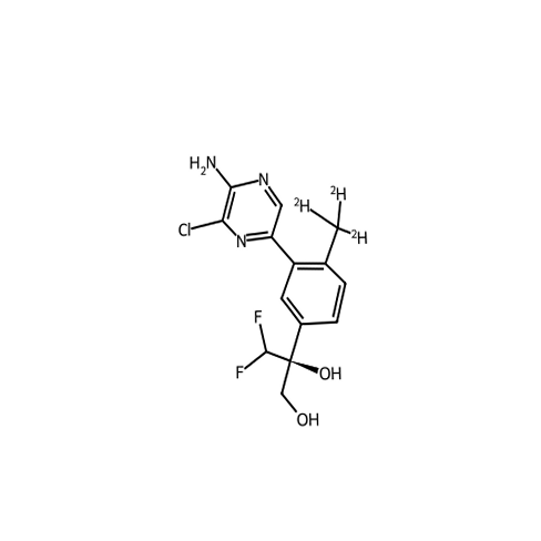 [2H]C([2H])([2H])c1ccc([C@](O)(CO)C(F)F)cc1-c1cnc(N)c(Cl)n1